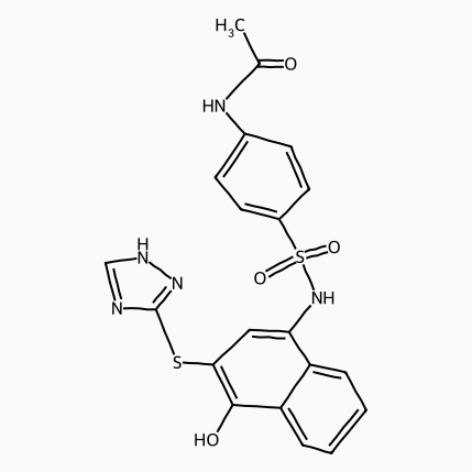 CC(=O)Nc1ccc(S(=O)(=O)Nc2cc(Sc3nc[nH]n3)c(O)c3ccccc23)cc1